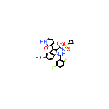 O=C(NS(=O)(=O)C1CCC1)c1c(-c2ccc[nH]c2=O)c2cc(C(F)(F)F)ccc2n1Cc1cc(F)ccc1F